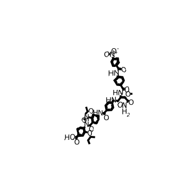 CCC(C)Oc1cc(C(=O)O)ccc1NC(=O)c1ccc(NC(=O)c2ccc(NC(=O)C(NC(=O)c3ccc(NC(=O)c4ccc([N+](=O)[O-])cc4)cc3)C(OC)C(N)=O)cc2)c(OC(C)C)c1N=O